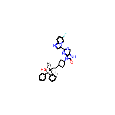 CC(C)(CCC1CCC(n2c(=O)[nH]c3cnc(-c4cnc5ccc(F)cn45)nc32)CC1)[Si](O)(c1ccccc1)c1ccccc1